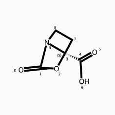 O=C1O[C@]2(C(=O)O)CCN12